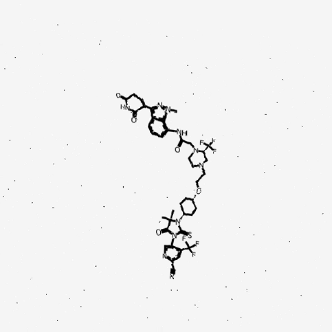 Cn1nc(C2CCC(=O)NC2=O)c2cccc(NC(=O)CN3CCN(CCO[C@H]4CC[C@H](N5C(=S)N(c6cnc(C#N)cc6C(F)(F)F)C(=O)C5(C)C)CC4)C[C@@H]3C(F)(F)F)c21